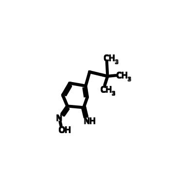 CC(C)(C)CC1=CC(=N)/C(=N\O)C=C1